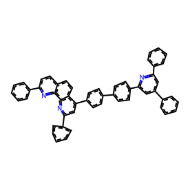 c1ccc(-c2cc(-c3ccccc3)nc(-c3ccc(-c4ccc(-c5cc(-c6ccccc6)nc6c5ccc5ccc(-c7ccccc7)nc56)cc4)cc3)c2)cc1